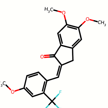 COc1ccc(C=C2Cc3cc(OC)c(OC)cc3C2=O)c(C(F)(F)F)c1